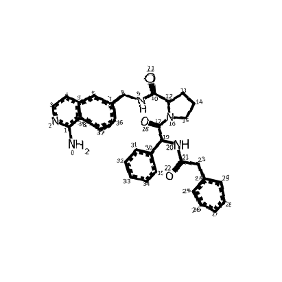 Nc1nccc2cc(CNC(=O)C3CCCN3C(=O)C(NC(=O)Cc3ccccc3)c3ccccc3)ccc12